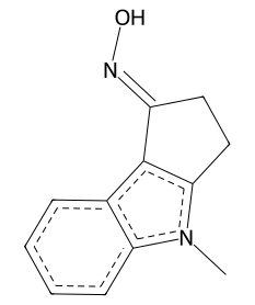 Cn1c2c(c3ccccc31)/C(=N/O)CC2